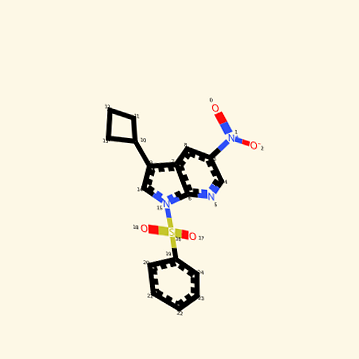 O=[N+]([O-])c1cnc2c(c1)c(C1CCC1)cn2S(=O)(=O)c1ccccc1